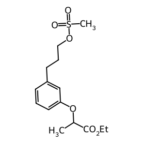 CCOC(=O)C(C)Oc1cccc(CCCOS(C)(=O)=O)c1